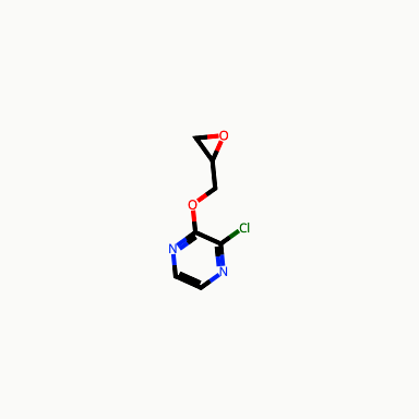 Clc1nccnc1OCC1CO1